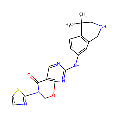 CC1(C)CNCc2cc(Nc3ncc4c(n3)OCN(c3nccs3)C4=O)ccc21